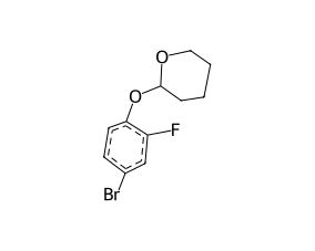 Fc1cc(Br)ccc1OC1CCCCO1